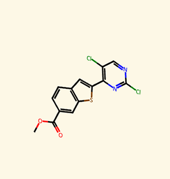 COC(=O)c1ccc2cc(-c3nc(Cl)ncc3Cl)sc2c1